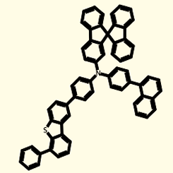 c1ccc(-c2cccc3c2sc2ccc(-c4ccc(N(c5ccc(-c6cccc7ccccc67)cc5)c5ccc6c(c5)C5(c7ccccc7-c7ccccc75)c5ccccc5-6)cc4)cc23)cc1